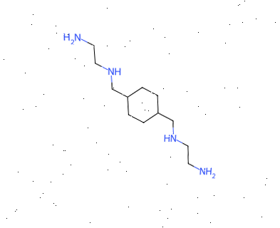 NCCNCC1CCC(CNCCN)CC1